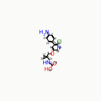 Nc1ccc(-c2cc(OCC3(CNC(=O)O)CC3)cnc2Cl)cc1